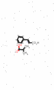 CC(C)C(=O)O.O=C(O)/C=C/c1ccccc1